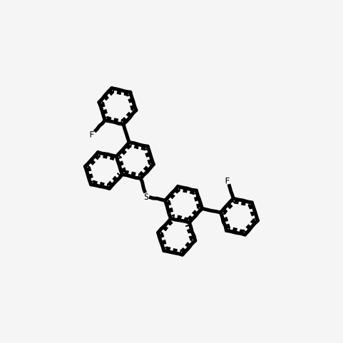 Fc1ccccc1-c1ccc(Sc2ccc(-c3ccccc3F)c3ccccc23)c2ccccc12